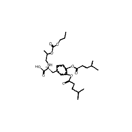 CCCOC(=O)OC(C)CN[C@@H](Cc1ccc(OC(=O)CCC(C)C)c(OC(=O)CCC(C)C)c1)C(=O)O